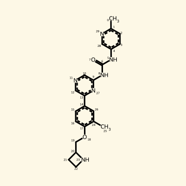 Cc1ccc(NC(=O)Nc2cncc(-c3ccc(OCC4CCN4)c(C)c3)n2)cn1